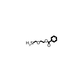 O=C(OCCOC[SiH3])c1ccccc1